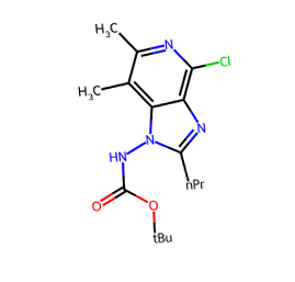 CCCc1nc2c(Cl)nc(C)c(C)c2n1NC(=O)OC(C)(C)C